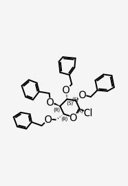 Cl[C@H]1O[C@H](COCc2ccccc2)[C@@H](OCc2ccccc2)[C@H](OCc2ccccc2)[C@@H]1OCc1ccccc1